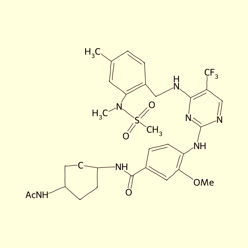 COc1cc(C(=O)NC2CCC(NC(C)=O)CC2)ccc1Nc1ncc(C(F)(F)F)c(NCc2ccc(C)cc2N(C)S(C)(=O)=O)n1